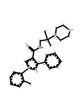 Cc1ccccc1-n1cc(C(=O)NCC(C)(C)N2CCOCC2)c(-c2ccccc2)n1